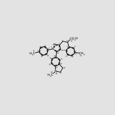 Cc1ccc(-n2nc(CC(C(=O)O)c3cccc(C)c3)cc2-c2ccc3c(c2)CCN3C)cc1